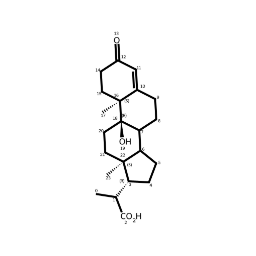 CC(C(=O)O)[C@H]1CCC2C3CCC4=CC(=O)CC[C@]4(C)[C@@]3(O)CC[C@@]21C